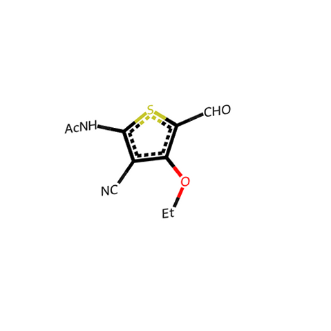 CCOc1c(C=O)sc(NC(C)=O)c1C#N